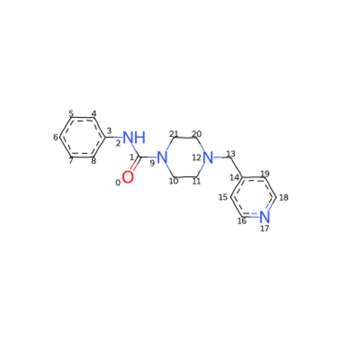 O=C(Nc1ccccc1)N1CCN(Cc2ccncc2)CC1